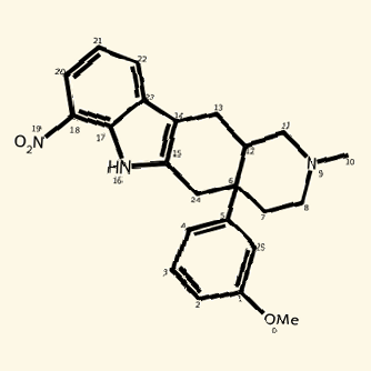 COc1cccc(C23CCN(C)CC2Cc2c([nH]c4c([N+](=O)[O-])cccc24)C3)c1